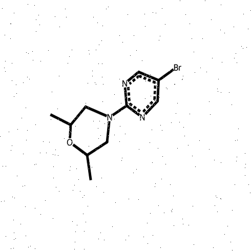 CC1CN(c2ncc(Br)cn2)CC(C)O1